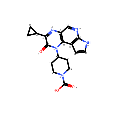 O=C(O)N1CCC(n2c(=O)c(C3CC3)nc3cnc4[nH]ccc4c32)CC1